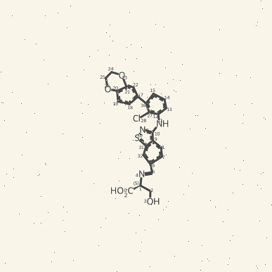 O=C(O)[C@H](CO)N=Cc1ccc2c(Nc3cccc(-c4ccc5c(c4)OCCO5)c3Cl)nsc2c1